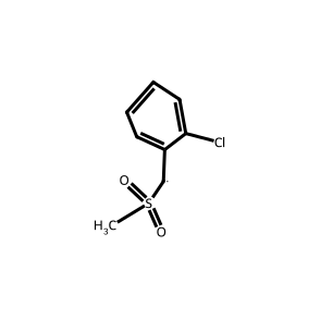 CS(=O)(=O)[CH]c1ccccc1Cl